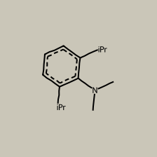 CC(C)c1cccc(C(C)C)c1N(C)C